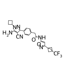 N#Cc1c(-c2ccc(CC(=O)Nc3cc(C45CC(C(F)(F)F)(C4)C5)no3)cc2)nn(C2CCC2)c1N